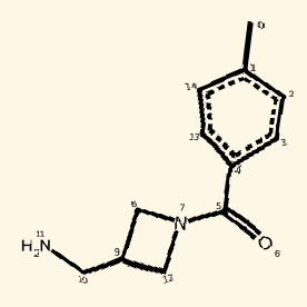 Cc1ccc(C(=O)N2CC(CN)C2)cc1